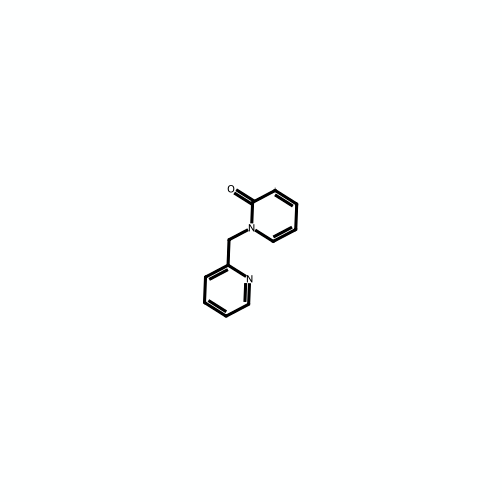 O=c1[c]cccn1Cc1ccccn1